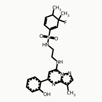 Cc1cnn2c(NCCNS(=O)(=O)C3=CC(C)(F)C(C)C=C3)cc(-c3ccccc3O)nc12